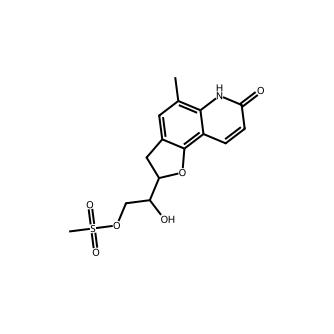 Cc1cc2c(c3ccc(=O)[nH]c13)OC(C(O)COS(C)(=O)=O)C2